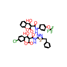 O=C(Nc1ccc(OC(F)(F)F)cc1)c1c(O)c2ccccc2oc1=O.O=C(Nc1nnc(Cc2ccccc2)s1)c1c(O)c2ccc(Cl)cc2oc1=O